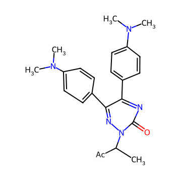 CC(=O)C(C)n1nc(-c2ccc(N(C)C)cc2)c(-c2ccc(N(C)C)cc2)nc1=O